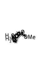 COCCC(=O)N1CCC2(CCC(c3cccs3)(N(C)C)CC2)C1